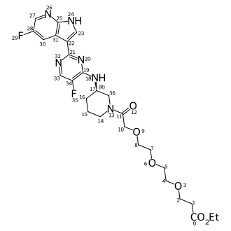 CCOC(=O)CCOCCOCCOCC(=O)N1CCC[C@@H](Nc2nc(-c3c[nH]c4ncc(F)cc34)ncc2F)C1